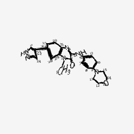 Cn1c(=O)c(Nc2ccc(N3CCOCC3)cc2)nc2ccc(-c3cn[nH]c3)cc21